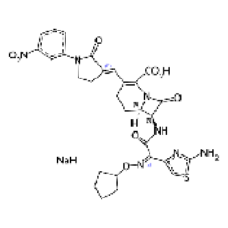 Nc1nc(/C(=N/OC2CCCC2)C(=O)N[C@@H]2C(=O)N3C(C(=O)O)=C(/C=C4\CCN(c5cccc([N+](=O)[O-])c5)C4=O)CC[C@H]23)cs1.[NaH]